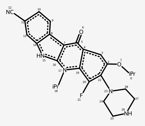 CC(C)Oc1cc2c(=O)c3c4ccc(C#N)cc4[nH]c3n(C(C)C)c2c(F)c1N1CCNCC1